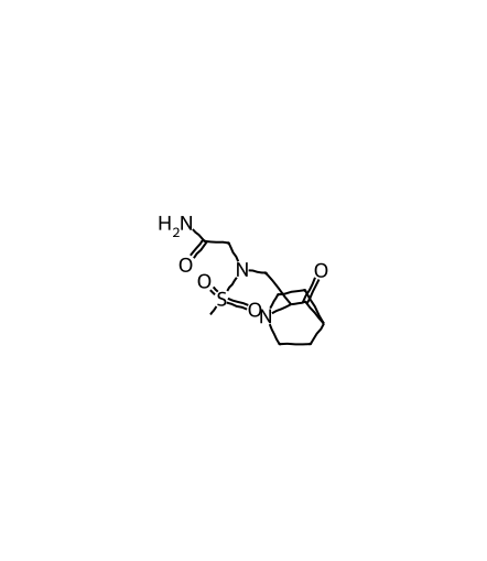 CS(=O)(=O)N(CC(N)=O)CC1C(=O)C2CCN1CC2